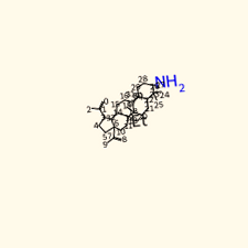 C=C(C)C1CCC2(C(=C)C)CCC3(CC)C(CCC4C3(C)CCC3C(C)(C)C(N)CC[C@@]34C)C12